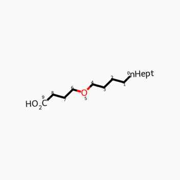 CCCCCCCCCCCOCCCC(=O)O